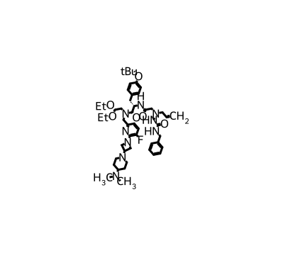 C=CCN(CC(=O)N[C@@H](Cc1ccc(OC(C)(C)C)cc1)C(=O)N(Cc1ccc(F)c(N2CC(N3CCC(N(C)C)CC3)C2)n1)CC(OCC)OCC)NC(=O)NCc1ccccc1